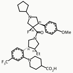 CC[C@@H]1CN(C(=O)[C@]2(F)CN(C3CCCC3)C[C@H]2c2ccc(OC)cc2)C[C@H]1c1ccc(C(F)(F)F)cc1N1CCC(C(=O)O)CC1